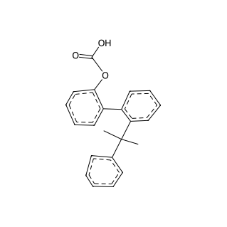 CC(C)(c1ccccc1)c1ccccc1-c1ccccc1OC(=O)O